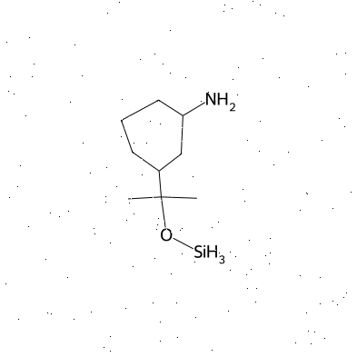 CC(C)(O[SiH3])C1CCCC(N)C1